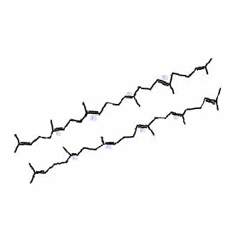 CC(C)=CCC/C(C)=C/CC/C(C)=C/CC/C=C(\C)CC/C=C(\C)CCC=C(C)C.CC(C)=CCC/C(C)=C/CC/C(C)=C/CC/C=C(\C)CC/C=C(\C)CCC=C(C)C